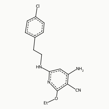 CCOc1nc(NCCc2ccc(Cl)cc2)cc(N)c1C#N